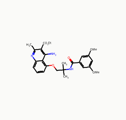 CCOC(=O)c1c(C)nc2cccc(OCC(C)(C)NC(=O)c3cc(OC)cc(OC)c3)c2c1N